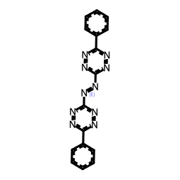 c1ccc(-c2nnc(/N=N/c3nnc(-c4ccccc4)nn3)nn2)cc1